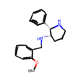 CC(C)(C)Oc1ccccc1CN[C@H]1CCCN[C@H]1c1ccccc1